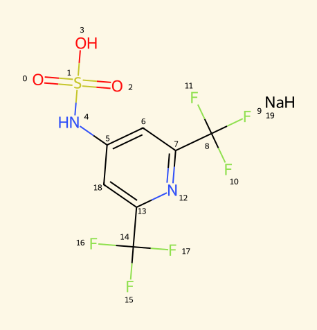 O=S(=O)(O)Nc1cc(C(F)(F)F)nc(C(F)(F)F)c1.[NaH]